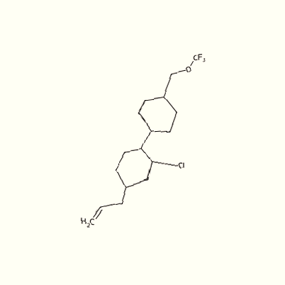 C=CCC1CCC(C2CCC(COC(F)(F)F)CC2)C(Cl)C1